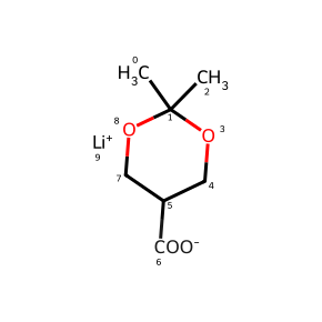 CC1(C)OCC(C(=O)[O-])CO1.[Li+]